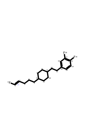 F/C=C/CCCC1CCC(CCc2ccc(F)c(F)c2)CC1